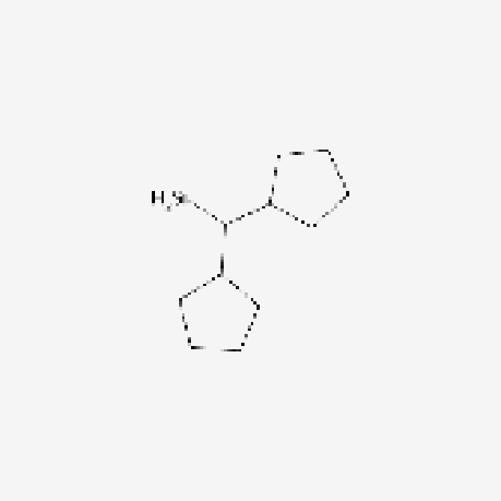 [SiH3]C(C1CCCC1)C1CCCC1